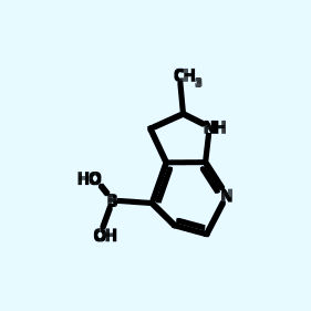 CC1Cc2c(B(O)O)ccnc2N1